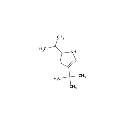 CC(C)C1CC(C(C)(C)C)=CN1